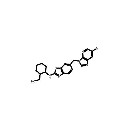 OCC1CCCCC1Nc1nc2ccc(Cn3cnc4cc(Br)cnc43)cc2s1